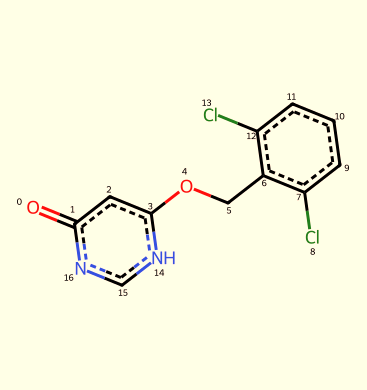 O=c1cc(OCc2c(Cl)cccc2Cl)[nH]cn1